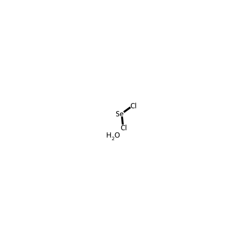 Cl[Se]Cl.O